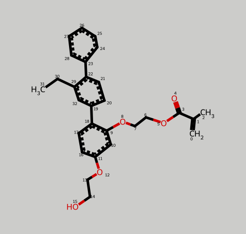 C=C(C)C(=O)OCCOc1cc(OCCO)ccc1-c1ccc(-c2ccccc2)c(CC)c1